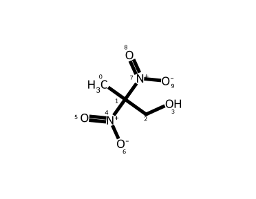 CC(CO)([N+](=O)[O-])[N+](=O)[O-]